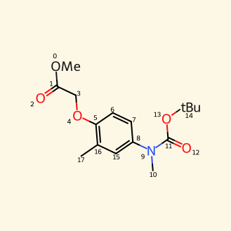 COC(=O)COc1ccc(N(C)C(=O)OC(C)(C)C)cc1C